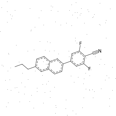 CCCc1ccc2cc(-c3cc(F)c(C#N)c(F)c3)ccc2c1